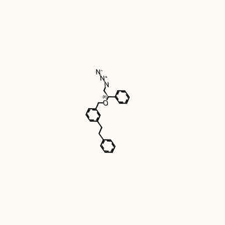 [N-]=[N+]=NC[C@H](OCc1cccc(CCc2ccccc2)c1)c1ccccc1